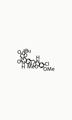 COc1cc(OC)c(NC(=O)Cc2cc3c(=O)n(CC(=O)OC(C)(C)C)c(=O)[nH]c3cn2)cc1Cl